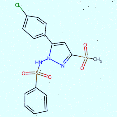 CS(=O)(=O)c1cc(-c2ccc(Cl)cc2)n(NS(=O)(=O)c2ccccc2)n1